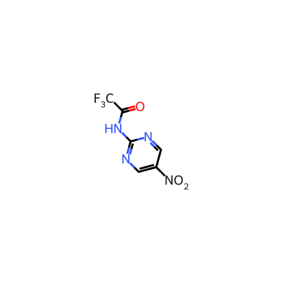 O=C(Nc1ncc([N+](=O)[O-])cn1)C(F)(F)F